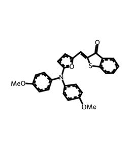 COc1ccc(N(c2ccc(OC)cc2)c2ccc(/C=C3\Sc4ccccc4C3=O)o2)cc1